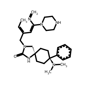 C=N/C(=C\C(=C/C)CN1C[C@]2(CC[C@](c3ccccc3)(N(C)C)CC2)NC1=O)N1CCNCC1